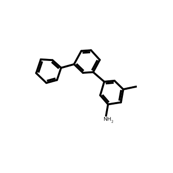 Cc1cc(N)cc(-c2cccc(-c3ccccc3)c2)c1